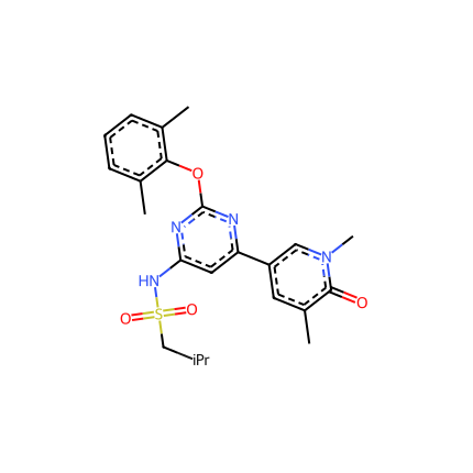 Cc1cccc(C)c1Oc1nc(NS(=O)(=O)CC(C)C)cc(-c2cc(C)c(=O)n(C)c2)n1